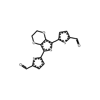 O=Cc1ccc(-c2sc(-c3ccc(C=O)s3)c3c2OCCO3)s1